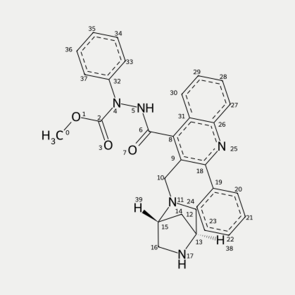 COC(=O)N(NC(=O)c1c(CN2C[C@@H]3C[C@@H]2CN3)c(-c2ccccc2)nc2ccccc12)c1ccccc1